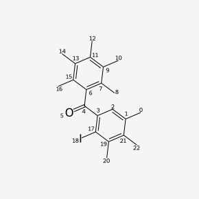 Cc1cc(C(=O)c2c(C)c(C)c(C)c(C)c2C)c(I)c(C)c1C